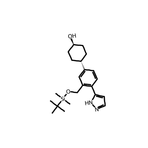 CC(C)(C)[Si](C)(C)OCc1cc([C@H]2CC[C@H](O)CC2)ccc1-c1ccn[nH]1